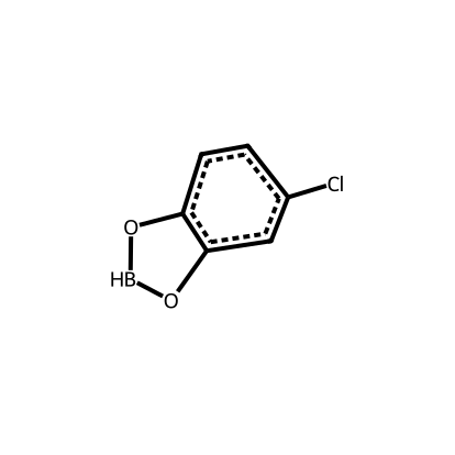 Clc1ccc2c(c1)OBO2